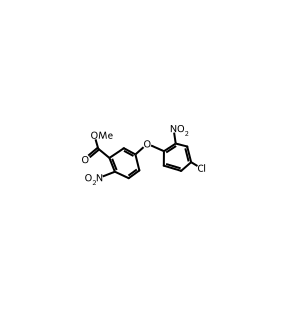 COC(=O)c1cc(Oc2ccc(Cl)cc2[N+](=O)[O-])ccc1[N+](=O)[O-]